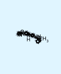 CC1CC2CCCC(C(=O)CNc3ccc(-c4cc5ccc(NC(=O)c6ccccn6)cc5[nH]4)cc3)(C1)C2